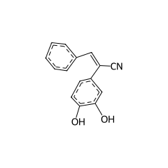 N#CC(=Cc1ccccc1)c1ccc(O)c(O)c1